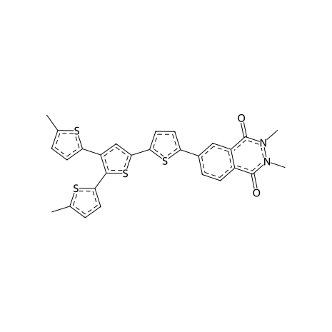 Cc1ccc(-c2cc(-c3ccc(-c4ccc5c(=O)n(C)n(C)c(=O)c5c4)s3)sc2-c2ccc(C)s2)s1